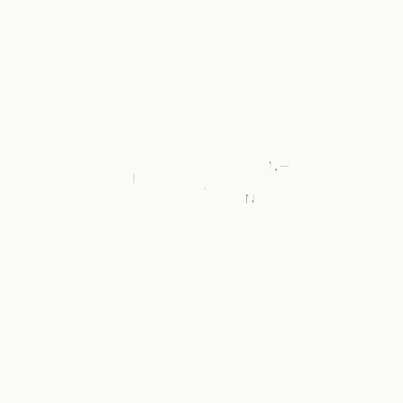 CC(I)CCN=N